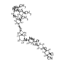 Cc1sc2c(c1C)C(c1ccc(C#CC3CC4(CCCN(c5ccc(C(=O)N[C@H]6CC[C@H](Oc7ccc(C#N)c(Cl)c7)CC6)nn5)C4)C3)cn1)=NCc1nnc(C)n1-2